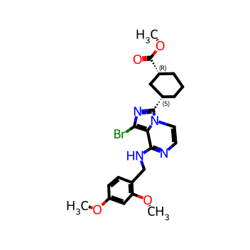 COC(=O)[C@@H]1CCC[C@H](c2nc(Br)c3c(NCc4ccc(OC)cc4OC)nccn23)C1